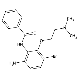 CN(C)CCOc1c(Br)ccc(N)c1NC(=O)c1ccccc1